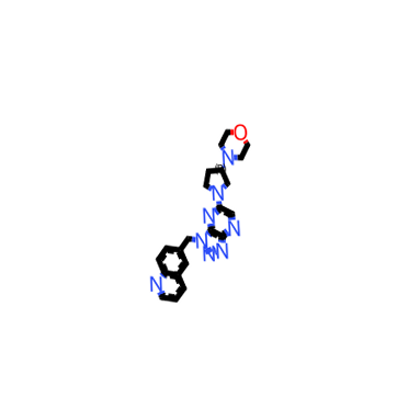 c1cnc2ccc(Cn3nnc4ncc(N5CC[C@@H](N6CCOCC6)C5)nc43)cc2c1